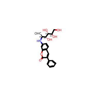 O=C[C@H](Nc1ccc2cc(-c3ccccc3)c(=O)oc2c1)[C@@H](O)[C@H](O)[C@H](O)CO